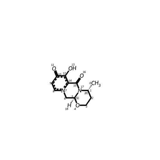 C[C@@H]1CCO[C@H]2Cn3ccc(=O)c(O)c3C(=O)N12